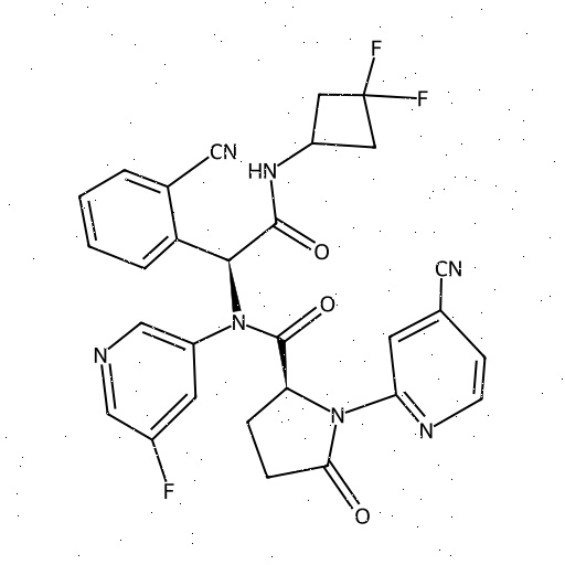 N#Cc1ccnc(N2C(=O)CC[C@H]2C(=O)N(c2cncc(F)c2)[C@H](C(=O)NC2CC(F)(F)C2)c2ccccc2C#N)c1